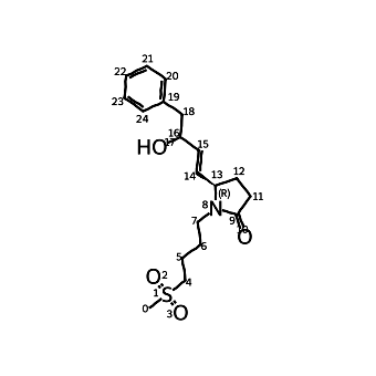 CS(=O)(=O)CCCCN1C(=O)CC[C@@H]1C=CC(O)Cc1ccccc1